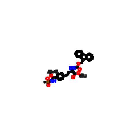 COc1cc(CCC(NC(=O)OCC2c3ccccc3-c3ccccc32)C(=O)OC(C)(C)C)ccc1C(=O)NS(C)(=O)=O